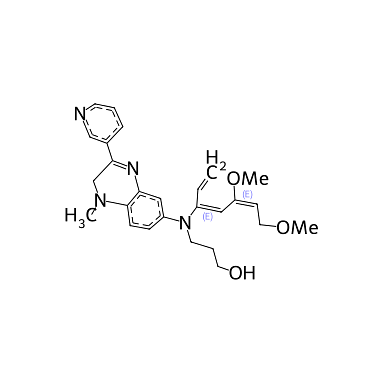 C=C/C(=C\C(=C/COC)OC)N(CCCO)c1ccc2c(c1)N=C(c1cccnc1)CN2C